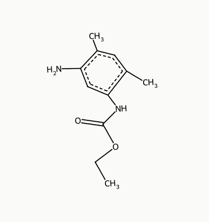 CCOC(=O)Nc1cc(N)c(C)cc1C